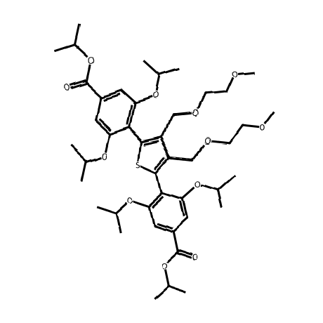 COCCOCc1c(-c2c(OC(C)C)cc(C(=O)OC(C)C)cc2OC(C)C)sc(-c2c(OC(C)C)cc(C(=O)OC(C)C)cc2OC(C)C)c1COCCOC